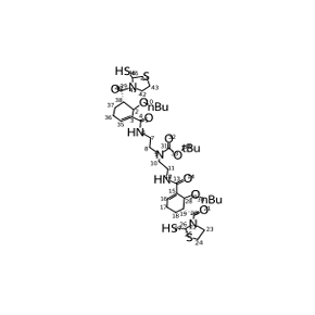 CCCCOC1C(C(=O)NCCN(CCNC(=O)C2=CCC[C@@H](C(=O)N3CCSC3S)C2OCCCC)C(=O)OC(C)(C)C)=CCC[C@@H]1C(=O)N1CCSC1S